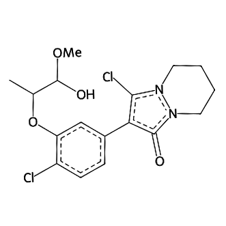 COC(O)C(C)Oc1cc(-c2c(Cl)n3n(c2=O)CCCC3)ccc1Cl